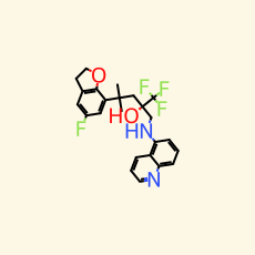 CC(C)(C[C@@](O)(CNc1cccc2ncccc12)C(F)(F)F)c1cc(F)cc2c1OCC2